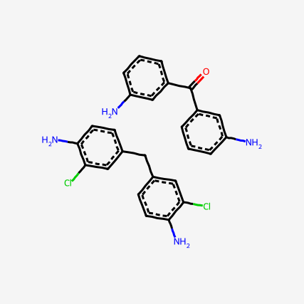 Nc1ccc(Cc2ccc(N)c(Cl)c2)cc1Cl.Nc1cccc(C(=O)c2cccc(N)c2)c1